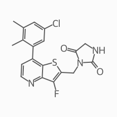 Cc1cc(Cl)cc(-c2ccnc3c(F)c(CN4C(=O)CNC4=O)sc23)c1C